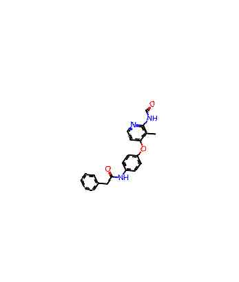 Cc1c(Oc2ccc(NC(=O)Cc3ccccc3)cc2)ccnc1NC=O